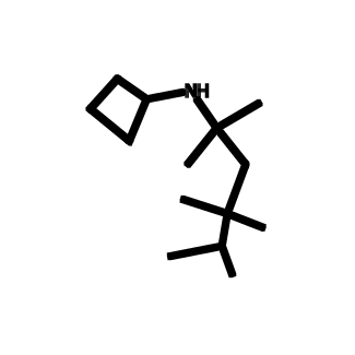 CC(C)C(C)(C)CC(C)(C)NC1CCC1